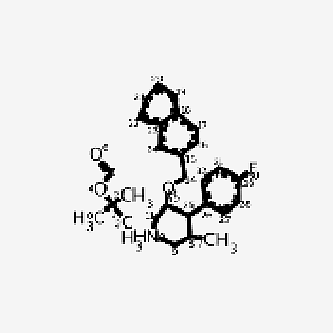 CC(C)(C)OC=O.CC1CNCC(OCc2ccc3ccccc3c2)C1c1ccc(F)cc1